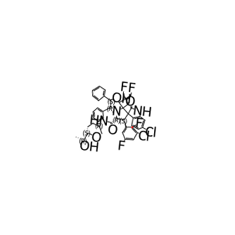 C[C@@H](O)[C@@H]1CC[C@@H](NC(=O)[C@H]2[C@H](c3cc(F)cc(Cl)c3F)C3(C(=O)Nc4cc(Cl)ccc43)C3(CC(CF)(CF)C3)N2[C@H](c2ccccc2)[C@@H](O)c2ccccc2)CO1